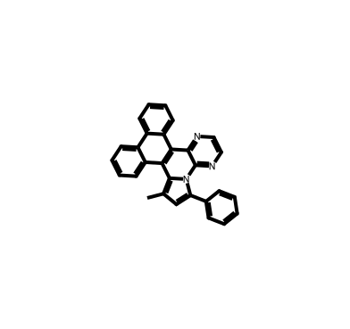 Cc1cc(-c2ccccc2)n2c3nccnc3c3c4ccccc4c4ccccc4c3c12